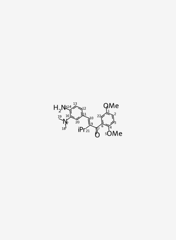 COc1ccc(OC)c(C(=O)C(=Cc2ccc(N)c(N(C)C)c2)C(C)C)c1